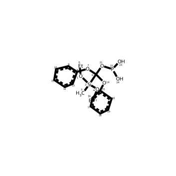 CCO[Si](C)(OCC)C(Oc1ccccc1)(Oc1ccccc1)OP(O)O